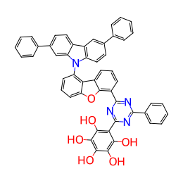 Oc1c(O)c(O)c(-c2nc(-c3ccccc3)nc(-c3cccc4c3oc3cccc(-n5c6ccc(-c7ccccc7)cc6c6ccc(-c7ccccc7)cc65)c34)n2)c(O)c1O